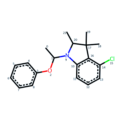 CC(Oc1ccccc1)N1c2cccc(Cl)c2C(C)(C)C1C